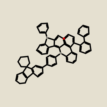 C1=CC2=C(CC1)c1ccc(-c3ccc(N(c4ccccc4-c4ccccc4-c4ccccc4-c4ccccc4)c4cccc5c4c4ccccc4n5-c4ccccc4)cc3)cc1C21CCCCC1